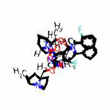 C#Cc1c(F)ccc2cccc(-c3nc4c5c(nc(OC[C@@]67CCCN6CC(=C)C7)nc5c3F)N3C[C@H]5CC[C@@H]([C@H]3[C@H](C)O4)N5C(=O)OC(C)(C)C)c12